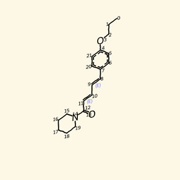 CCCOc1ccc(/C=C/C=C/C(=O)N2CCCCC2)cc1